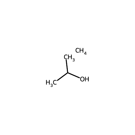 C.CC(C)O